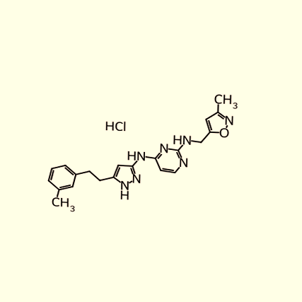 Cc1cccc(CCc2cc(Nc3ccnc(NCc4cc(C)no4)n3)n[nH]2)c1.Cl